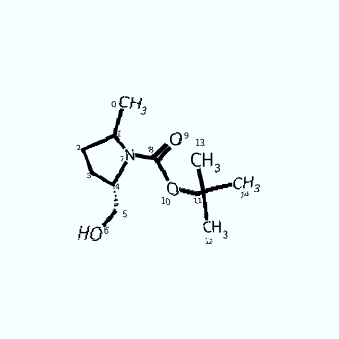 CC1CC[C@@H](CO)N1C(=O)OC(C)(C)C